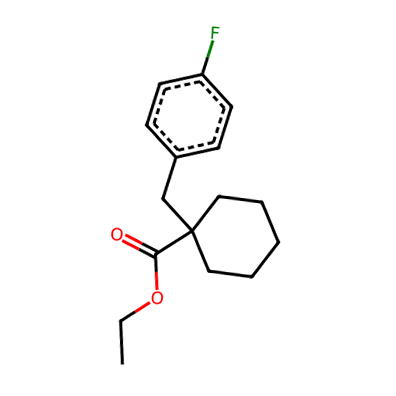 CCOC(=O)C1(Cc2ccc(F)cc2)CCCCC1